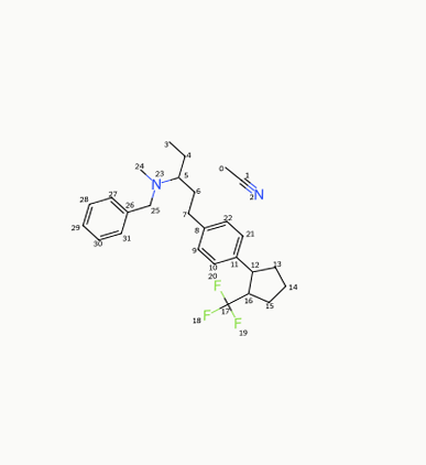 CC#N.CCC(CCc1ccc(C2CCCC2C(F)(F)F)cc1)N(C)Cc1ccccc1